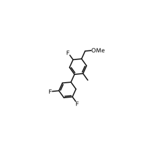 COCC1C=C(C)C(C2C=C(F)C=C(F)C2)=CC1F